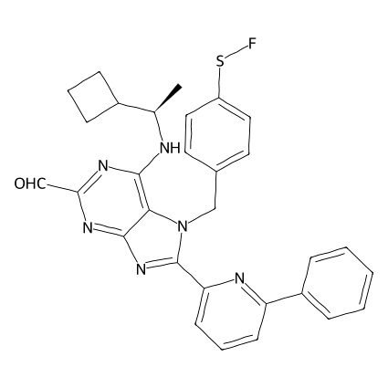 C[C@@H](Nc1nc(C=O)nc2nc(-c3cccc(-c4ccccc4)n3)n(Cc3ccc(SF)cc3)c12)C1CCC1